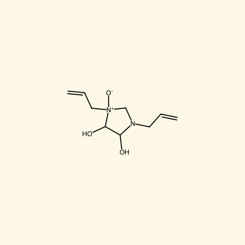 C=CCN1C[N+]([O-])(CC=C)C(O)C1O